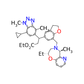 CCOC(=O)CC(c1cc2c(c(CN3C[C@@H](CC)Oc4cccnc4[C@@H]3C)c1)OCC2)c1cc(C2CC2)c2c(nnn2C)c1C